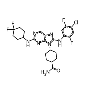 NC(=O)[C@H]1CC[C@H](n2c(Nc3cc(F)c(Cl)cc3F)nc3cnc(NC4CCC(F)(F)CC4)nc32)CC1